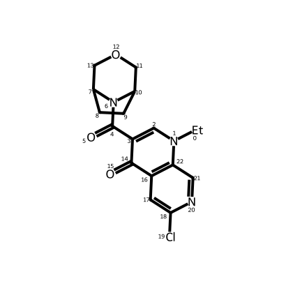 CCn1cc(C(=O)N2C3CCC2COC3)c(=O)c2cc(Cl)ncc21